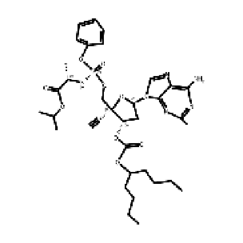 C#C[C@]1(CO[P@@](=O)(N[C@@H](C)C(=O)OC(C)C)Oc2ccccc2)O[C@@H](n2cnc3c(N)nc(F)nc32)C[C@@H]1OC(=O)OC(CCCC)CCCC